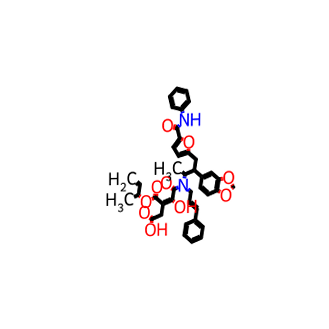 C=CC(C)OC(=O)C(CC(=O)O)=C(O)C(=O)N(CC=Cc1ccccc1)C(C)C(Cc1ccc(C(=O)Nc2ccccc2)o1)c1ccc2c(c1)OCO2